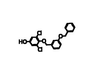 Oc1cc(Cl)c(OCc2cccc(OCc3ccccc3)c2)c(Cl)c1